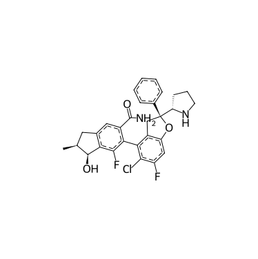 C[C@H]1Cc2cc(C(N)=O)c(-c3c(Cl)c(F)cc4c3C[C@](c3ccccc3)([C@@H]3CCCN3)O4)c(F)c2[C@H]1O